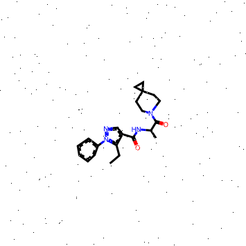 CCc1c(C(=O)NC(C)C(=O)N2CCC3(CC2)CC3)cnn1-c1ccccc1